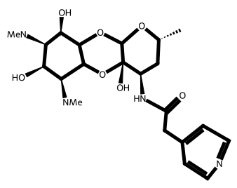 CN[C@@H]1[C@H](O)[C@H](NC)C2O[C@]3(O)C(OC2[C@@H]1O)O[C@H](C)C[C@H]3NC(=O)Cc1ccncc1